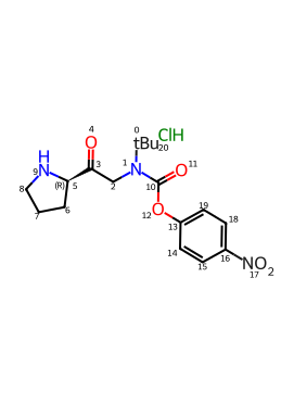 CC(C)(C)N(CC(=O)[C@H]1CCCN1)C(=O)Oc1ccc([N+](=O)[O-])cc1.Cl